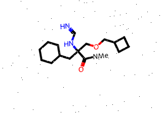 CNC(=O)C(COCC1CCC1)(CC1CCCCC1)NC=N